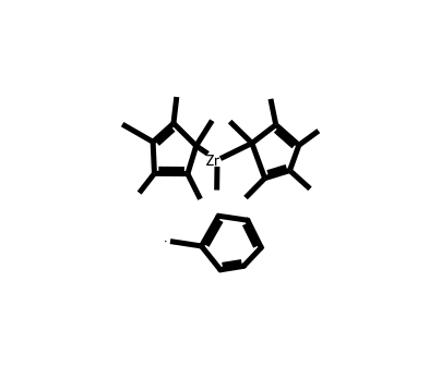 CC1=C(C)[C](C)([Zr]([CH3])[C]2(C)C(C)=C(C)C(C)=C2C)C(C)=C1C.[CH2]c1ccccc1